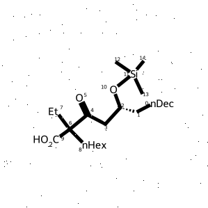 CCCCCCCCCCC[C@H](CC(=O)C(CC)(CCCCCC)C(=O)O)O[Si](C)(C)C